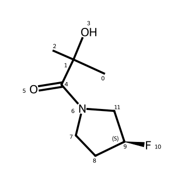 CC(C)(O)C(=O)N1CC[C@H](F)C1